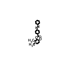 Cc1c(OC(=O)c2ccc(N=Nc3ccccc3)cc2)c(=O)ccn1C